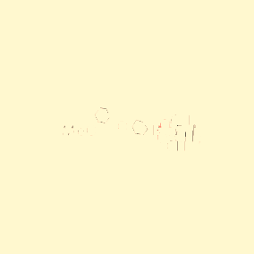 COc1cccc(COc2ccc(B3OC(C)(C)C(C)(C)O3)cc2)c1